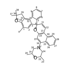 Cc1cc(C2(c3ccccc3)C=Cc3c(cc(N4CC(C)OC(C)C4)c4ccccc34)O2)cc2c1OC(C)(C)C2